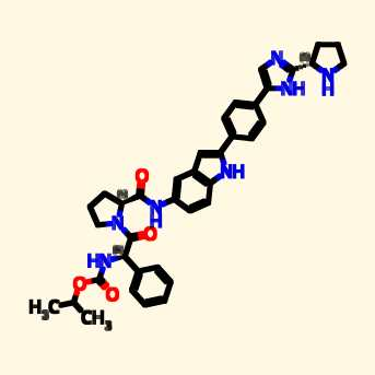 CC(C)OC(=O)N[C@@H](C(=O)N1CCC[C@H]1C(=O)Nc1ccc2[nH]c(-c3ccc(-c4cnc([C@@H]5CCCN5)[nH]4)cc3)cc2c1)c1ccccc1